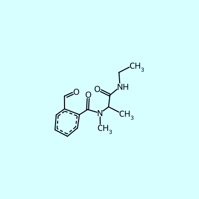 CCNC(=O)C(C)N(C)C(=O)c1ccccc1C=O